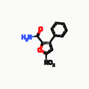 NC(=O)c1oc([N+](=O)[O-])cc1-c1ccccc1